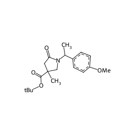 COc1ccc(C(C)N2CC(C)(C(=O)OC(C)(C)C)CC2=O)cc1